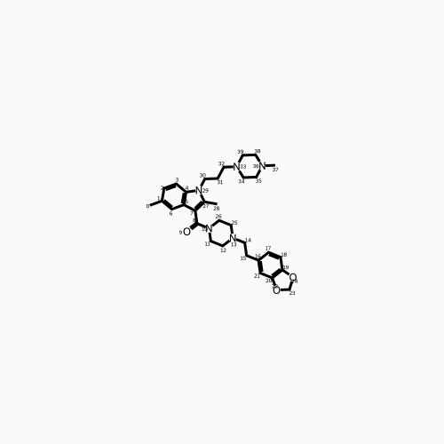 Cc1ccc2c(c1)c(C(=O)N1CCN(CCc3ccc4c(c3)OCO4)CC1)c(C)n2CCCN1CCN(C)CC1